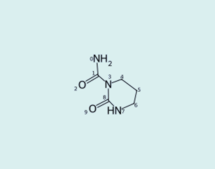 NC(=O)N1CCCNC1=O